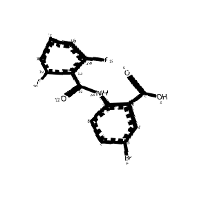 O=C(O)c1cc(Br)ccc1NC(=O)c1c(F)cccc1F